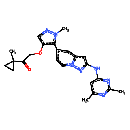 Cc1cc(Nc2cc3cc(-c4c(OCC(=O)C5(C)CC5)cnn4C)ccn3n2)nc(C)n1